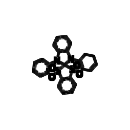 O=S1(=O)c2ccccc2S(=O)(=O)C12N(C1=CC=CCC1)c1ccccc1N2c1ccccc1